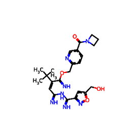 CC(C)(C)/C(=C/C(=N)NC(=N)c1cc(CO)on1)C(=N)OCc1ccc(C(=O)N2CCC2)cn1